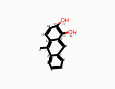 Cc1c2ccccc2cc2c(O)c(O)ccc12